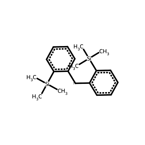 C[Si](C)(C)c1ccccc1[C]c1ccccc1[Si](C)(C)C